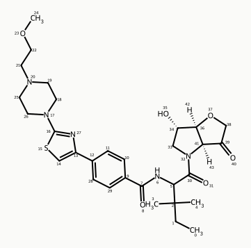 CCC(C)(C)C(NC(=O)c1ccc(-c2csc(N3CCN(CCOC)CC3)n2)cc1)C(=O)N1C[C@H](O)[C@H]2OCC(=O)[C@H]21